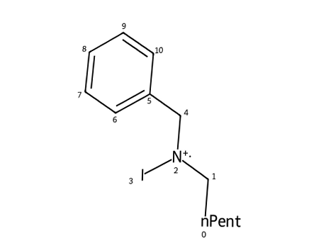 CCCCCC[N+](I)Cc1ccccc1